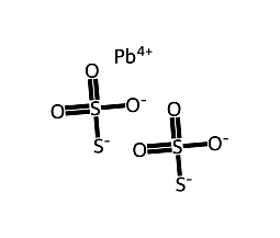 O=S(=O)([O-])[S-].O=S(=O)([O-])[S-].[Pb+4]